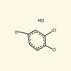 Cl.Clc1cc[c]([Zn])cc1Cl